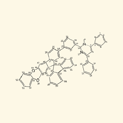 CN1C(c2ccccc2)=CC(c2ccccc2)=NC1c1cccc(-c2ccc3c(c2)C2(c4ccccc4-c4ccccc42)c2cc4c(cc2-3)Oc2ccccc2O4)c1